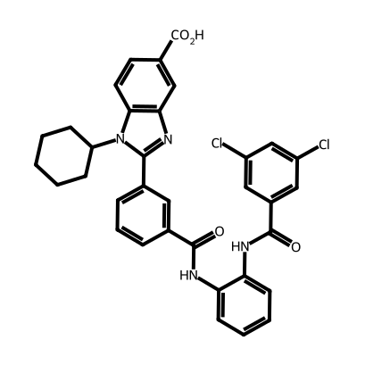 O=C(O)c1ccc2c(c1)nc(-c1cccc(C(=O)Nc3ccccc3NC(=O)c3cc(Cl)cc(Cl)c3)c1)n2C1CCCCC1